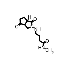 CNC(=O)CCCNN1CC2C(=O)CC[C@@H]2C1=O